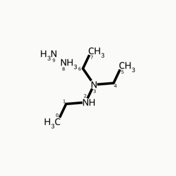 CCNN(CC)CC.N.N